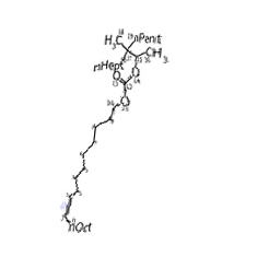 CCCCCCCC/C=C\CCCCCCCCOC(=O)OC(C)C(C)(CCCCC)CCCCCCC